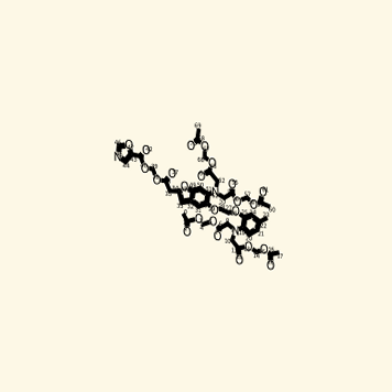 CC(=O)OCOC(=O)CN(CC(=O)OCOC(C)=O)c1ccc(C)cc1OCCOc1cc2cc(CC(=O)OCOC(=O)c3cnco3)oc2cc1N(CC(=O)OCOC(C)=O)CC(=O)OCOC(C)=O